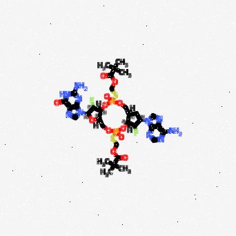 CC(C)(C)C(=O)OCSP1(=O)OC[C@H]2C[C@@H](n3cnc4c(N)ncnc43)C(F)[C@H]2OP(=O)(SCOC(=O)C(C)(C)C)OC[C@H]2O[C@@H](n3cnc4c(=O)[nH]c(N)nc43)[C@@H](F)[C@H]2O1